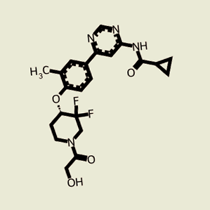 Cc1cc(-c2cc(NC(=O)C3CC3)ncn2)ccc1O[C@H]1CCN(C(=O)CO)CC1(F)F